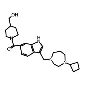 O=C(c1ccc2c(CN3CCCN(C4CCC4)CC3)c[nH]c2c1)N1CCC(CO)CC1